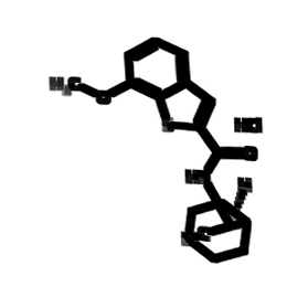 COc1cccc2cc(C(=O)N[C@@H]3CN4CCC3CC4)sc12.Cl